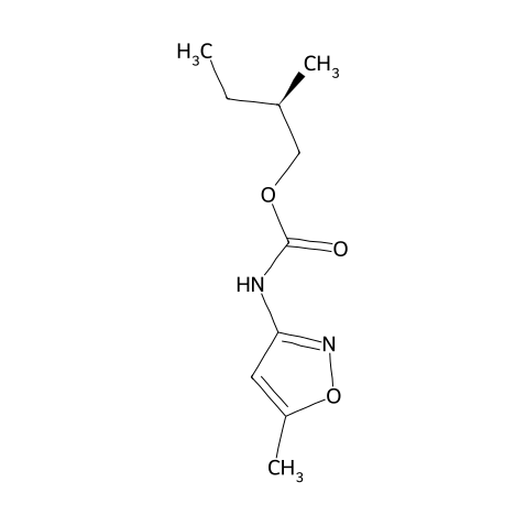 CC[C@@H](C)COC(=O)Nc1cc(C)on1